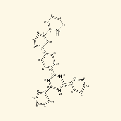 C1=CCNC(c2cccc(-c3ccc(-c4nc(-c5ccccc5)nc(-c5ccccc5)n4)cc3)c2)=C1